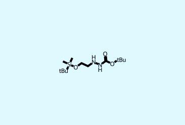 CC(C)(C)OC(=O)NNCCO[Si](C)(C)C(C)(C)C